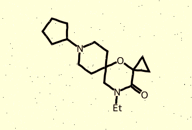 CCN1CC2(CCN(C3CCCC3)CC2)OC2(CC2)C1=O